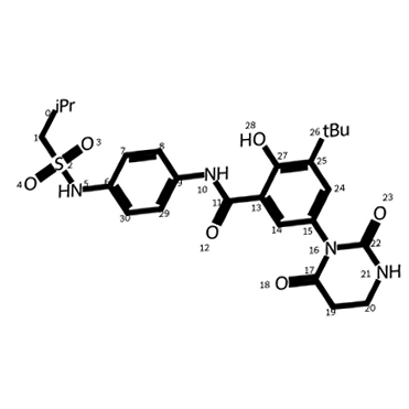 CC(C)CS(=O)(=O)Nc1ccc(NC(=O)c2cc(N3C(=O)CCNC3=O)cc(C(C)(C)C)c2O)cc1